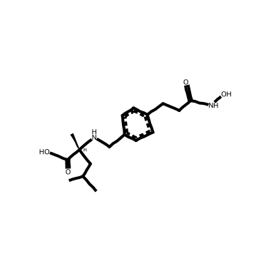 CC(C)C[C@@](C)(NCc1ccc(CCC(=O)NO)cc1)C(=O)O